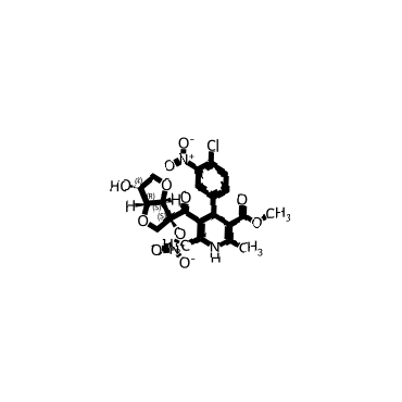 COC(=O)C1=C(C)NC(C)=C(C(=O)[C@]2(O[N+](=O)[O-])CO[C@@H]3[C@H](O)CO[C@@H]32)C1c1ccc(Cl)c([N+](=O)[O-])c1